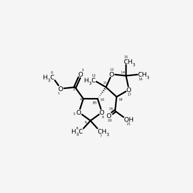 COC(=O)C1OC(C)(C)O[C@H]1C1(C)OC(C)(C)OC1C(=O)O